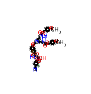 COc1ccc(COC(=O)NCCCN(CCCNC(=O)OCc2ccc(OC)cc2)CCOc2ccc3sc(S(=O)(=O)NCP(=O)(O)Oc4ccc(C#N)c(F)c4)cc3c2)cc1